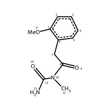 COc1ccccc1CC(=O)N(C)C(N)=O